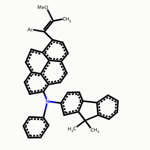 CO/C(C)=C(\C(C)=O)c1ccc2ccc3c(N(c4ccccc4)c4ccc5c(c4)C(C)(C)c4ccccc4-5)ccc4ccc1c2c43